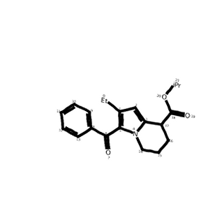 CCc1cc2n(c1C(=O)c1ccccc1)CCCC2C(=O)OC(C)C